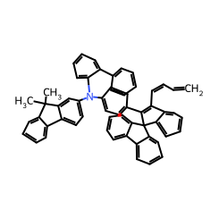 C=C/C=C\C1=C(c2ccc(N(c3ccc4c(c3)C(C)(C)c3ccccc3-4)c3ccccc3-c3ccccc3)cc2)C2(c3ccccc31)c1ccccc1-c1ccccc12